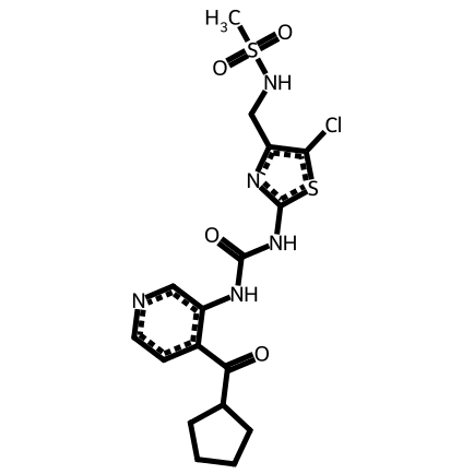 CS(=O)(=O)NCc1nc(NC(=O)Nc2cnccc2C(=O)C2CCCC2)sc1Cl